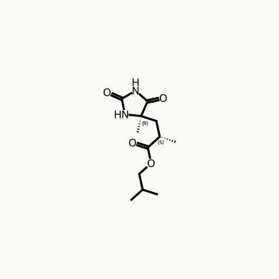 CC(C)COC(=O)[C@@H](C)C[C@@]1(C)NC(=O)NC1=O